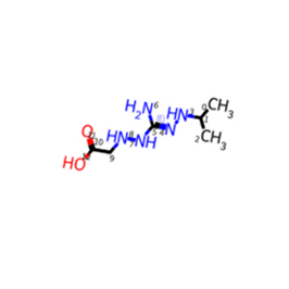 CC(C)N/N=C(\N)NNCC(=O)O